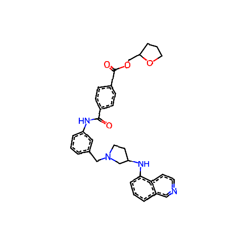 O=C(Nc1cccc(CN2CCC(Nc3cccc4cnccc34)C2)c1)c1ccc(C(=O)OCC2CCCO2)cc1